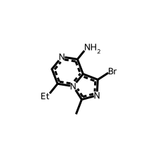 CCc1cnc(N)c2c(Br)nc(C)n12